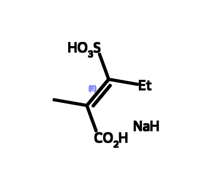 CC/C(=C(/C)C(=O)O)S(=O)(=O)O.[NaH]